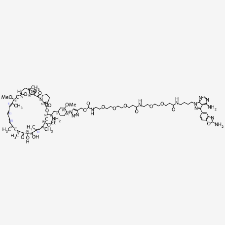 CCO[C@@H]1C[C@@H]([C@H](N)C[C@@H]2CC[C@H](n3cc(COC(=O)NCCOCCOCCOCCC(=O)NCCOCCOCCC(=O)NCCCCn4nc(-c5ccc6oc(N)nc6c5)c5c(N)ncnc54)nn3)[C@H](OC)C2)OC(=O)[C@@H]2CCCCN2C(=O)C(=O)[C@]2(O)O[C@@H](CC[C@H]2C)C[C@H](OC)/C(C)=C/C=C/C=C/[C@@H](C)C[C@@H](C)C(=O)[C@H](O)[C@H](O)/C(C)=C/[C@H]1C